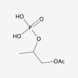 CC(=O)OCC(C)OP(=O)(O)O